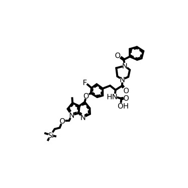 Cc1cn(COCC[Si](C)(C)C)c2nccc(Oc3ccc(CC(NC(=O)O)C(=O)N4CCN(C(=O)c5ccccc5)CC4)cc3F)c12